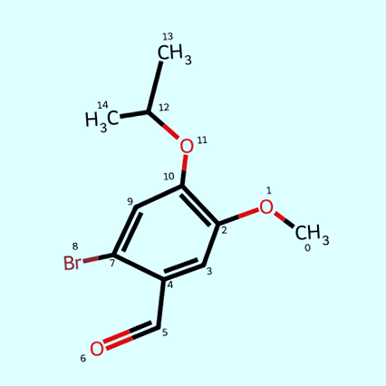 COc1cc(C=O)c(Br)cc1OC(C)C